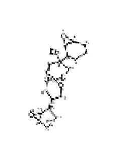 CCC1(C2CCCC3OC32)COC2(OCC(C3CCCC4OC43)CO2)OC1